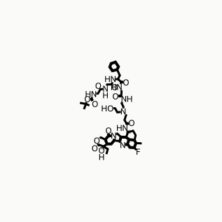 CC[C@@]1(O)C(=O)OCc2c1cc1n(c2=O)Cc2c-1nc1cc(F)c(C)c3c1c2[C@@H](NC(=O)CCN(CCO)CCNC(=O)CNC(=O)C(Cc1ccccc1)NC(=O)CNC(=O)CNC(=O)OC(C)(C)C)CC3